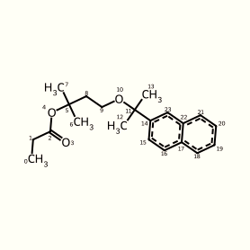 CCC(=O)OC(C)(C)CCOC(C)(C)c1ccc2ccccc2c1